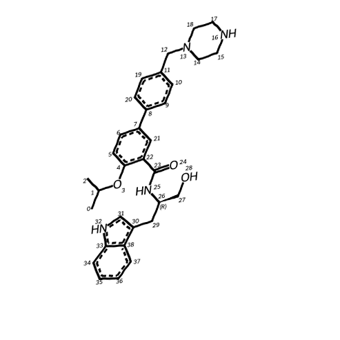 CC(C)Oc1ccc(-c2ccc(CN3CCNCC3)cc2)cc1C(=O)N[C@@H](CO)Cc1c[nH]c2ccccc12